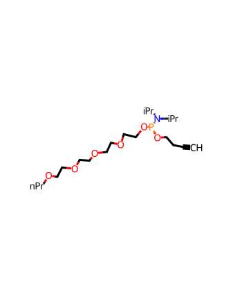 C#CCCOP(OCCOCCOCCOCCOCCC)N(C(C)C)C(C)C